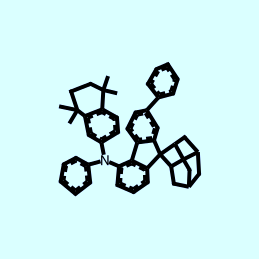 CC1(C)CCC(C)(C)c2cc(N(c3ccccc3)c3cccc4c3-c3ccc(-c5ccccc5)cc3C43C4CC5CC6CC3C64C5)ccc21